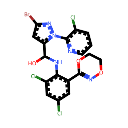 OC(Nc1c(Cl)cc(Cl)cc1C1=NOCCO1)c1cc(Br)nn1-c1ncccc1Cl